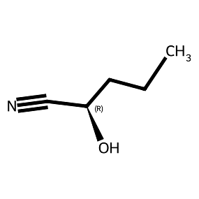 CCC[C@@H](O)C#N